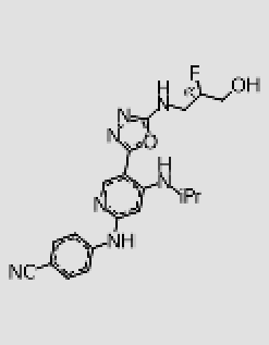 CC(C)Nc1cc(Nc2ccc(C#N)cc2)ncc1-c1nnc(NC[C@@H](F)CO)o1